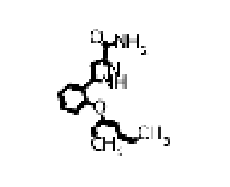 C=C/C(=C\C=C/C)Oc1ccccc1-c1cc(C(N)=O)n[nH]1